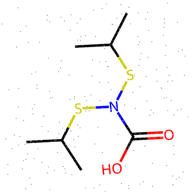 CC(C)SN(SC(C)C)C(=O)O